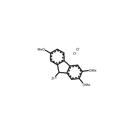 COc1ccc2c(c1)[CH]([Zr+2])c1cc(OC)c(OC)cc1-2.[Cl-].[Cl-]